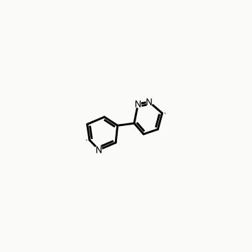 [c]1ccc(-c2cc[c]nn2)cn1